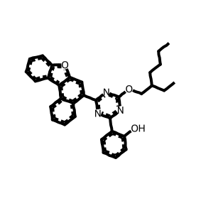 CCCCC(CC)COc1nc(-c2ccccc2O)nc(-c2cc3oc4ccccc4c3c3ccccc23)n1